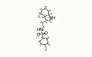 Cc1ccc(S(=O)(=O)NCCc2c[nH]c3cccc(C)c23)cc1